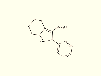 O=C(O)C1=C2COCCN2NC1c1ccccc1